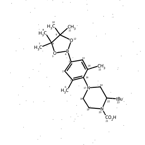 Cc1cc(B2OC(C)(C)C(C)(C)O2)cc(C)c1N1CCN(C(=O)O)C(C(C)(C)C)C1